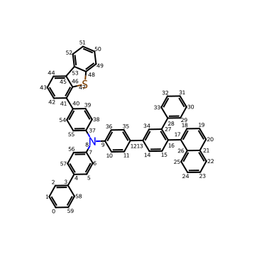 c1ccc(-c2ccc(N(c3ccc(-c4ccc(-c5cccc6ccccc56)c(-c5ccccc5)c4)cc3)c3ccc(-c4cccc5c4sc4ccccc45)cc3)cc2)cc1